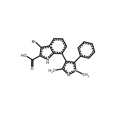 Cc1nn(C)c(-c2ccccc2)c1-c1cccc2c(Br)c(C(=O)O)[nH]c12